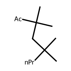 CCCC(C)(C)CC(C)(C)C(C)=O